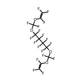 FC(F)=C(F)OC(F)(F)OC(F)(F)C(F)(F)C(F)(F)C(F)(F)OC(F)(F)OC(F)=C(F)F